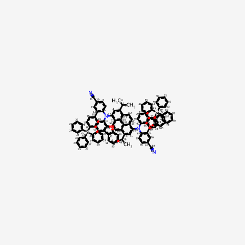 CC(C)c1cc(N(c2ccc(C#N)cc2-c2ccc([Si](c3ccccc3)(c3ccccc3)c3ccccc3)cc2)c2cccc3c2oc2ccccc23)c2ccc3c(C(C)C)cc(N(c4ccc(C#N)cc4-c4ccc([Si](c5ccccc5)(c5ccccc5)c5ccccc5)cc4)c4cccc5c4oc4ccccc45)c4ccc1c2c34